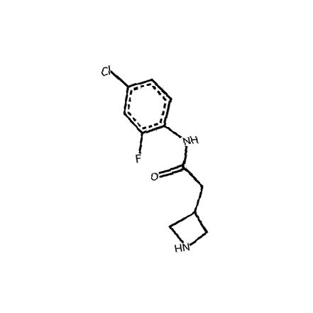 O=C(CC1CNC1)Nc1ccc(Cl)cc1F